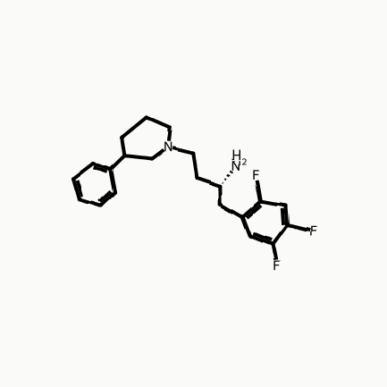 N[C@@H](CCN1CCCC(c2ccccc2)C1)Cc1cc(F)c(F)cc1F